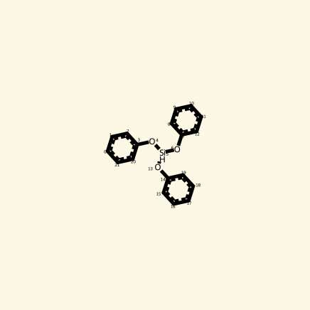 c1ccc(O[SiH](Oc2ccccc2)Oc2ccccc2)cc1